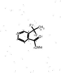 COC(=O)c1ccncc1C(C)(F)F